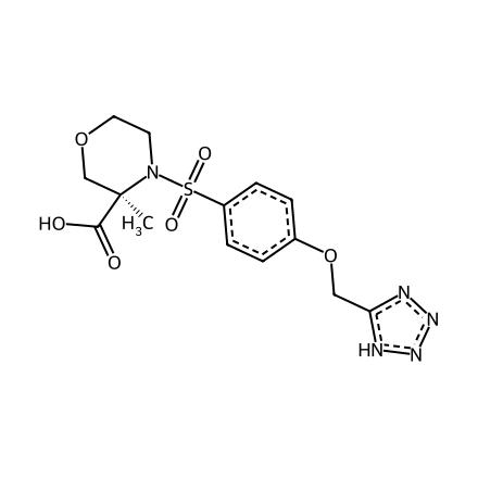 C[C@]1(C(=O)O)COCCN1S(=O)(=O)c1ccc(OCc2nnn[nH]2)cc1